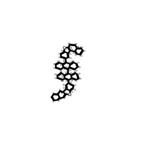 c1ccc2cc3c(cc2c1)oc1ccc(-c2c4ccccc4c(-c4c5ccccc5c(-c5ccc6oc7ccc8ccccc8c7c6c5)c5ccccc45)c4ccccc24)cc13